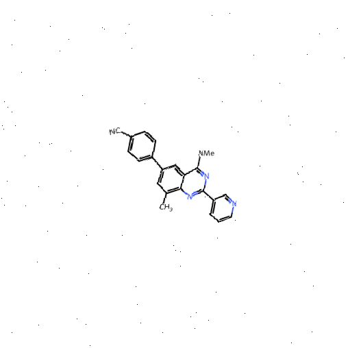 CNc1nc(-c2cccnc2)nc2c(C)cc(-c3ccc(C#N)cc3)cc12